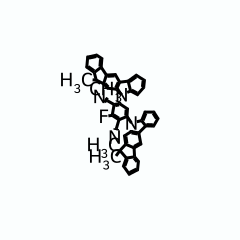 CC1(C)c2ccccc2-c2cc3c4ccccc4n(-c4cc(-n5c6ccccc6c6cc7c(cc65)C(C)(C)c5ccccc5-7)c(C#N)c(F)c4C#N)c3cc21